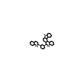 c1cc(-c2ccc3ccccc3n2)cc(-c2nc3ccccc3c3c2ccc2sc4ccccc4c23)c1